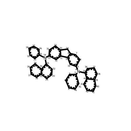 c1ccc(N(c2ccc3c(c2)-c2cc(N(c4ccccc4)c4cccc5ccccc45)ccc2C3)c2cccc3ccccc23)cc1